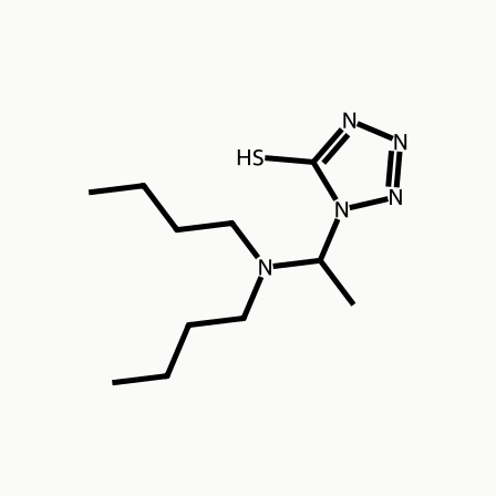 CCCCN(CCCC)C(C)n1nnnc1S